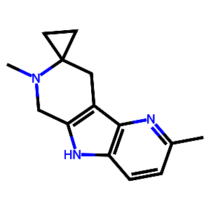 Cc1ccc2[nH]c3c(c2n1)CC1(CC1)N(C)C3